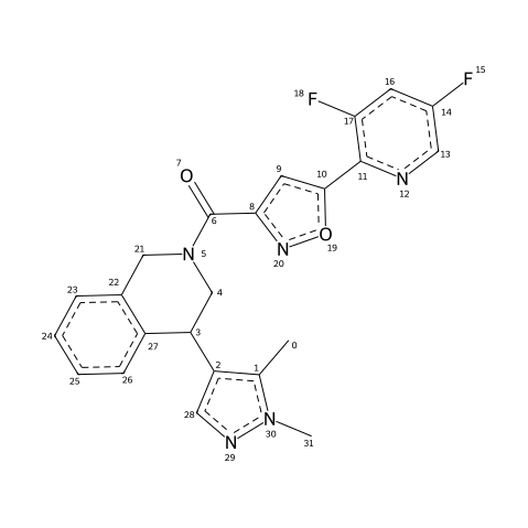 Cc1c(C2CN(C(=O)c3cc(-c4ncc(F)cc4F)on3)Cc3ccccc32)cnn1C